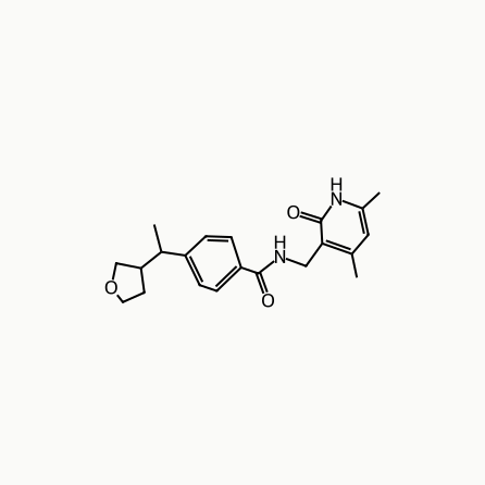 Cc1cc(C)c(CNC(=O)c2ccc(C(C)C3CCOC3)cc2)c(=O)[nH]1